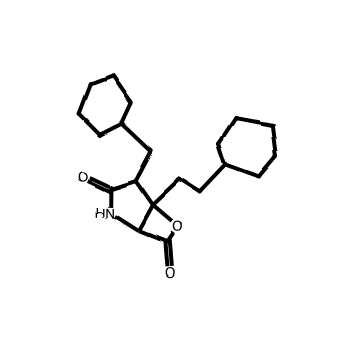 O=C1NC2C(=O)OC2(CCC2CCCCC2)C1CC1CCCCC1